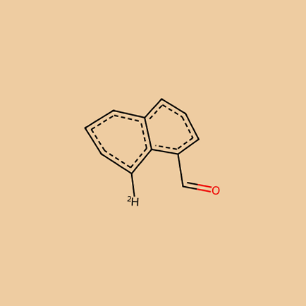 [2H]c1cccc2cccc(C=O)c12